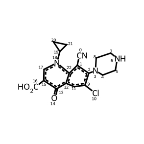 N#Cc1c(N2CCNCC2)c(Cl)cc2c(=O)c(C(=O)O)cn(C3CC3)c12